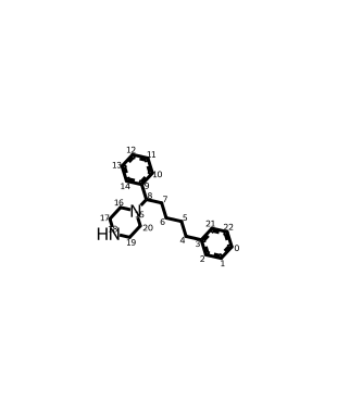 c1ccc(CCCCC(c2ccccc2)N2CCNCC2)cc1